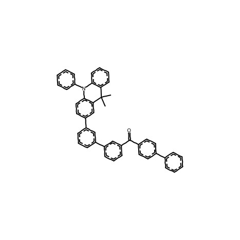 CC1(C)c2ccccc2N(c2ccccc2)c2ccc(-c3cccc(-c4cccc(C(=O)c5ccc(-c6ccccc6)cc5)c4)c3)cc21